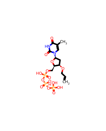 C=CCO[C@@H]1C[C@H](n2cc(C)c(=O)[nH]c2=O)O[C@@H]1COP(=O)(O)OP(=O)(O)OP(=O)(O)O